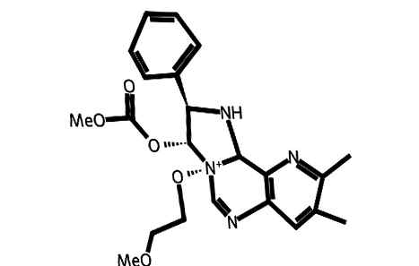 COCCO[N@@+]12C=Nc3cc(C)c(C)nc3C1N[C@H](c1ccccc1)[C@H]2OC(=O)OC